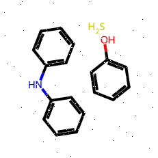 Oc1ccccc1.S.c1ccc(Nc2ccccc2)cc1